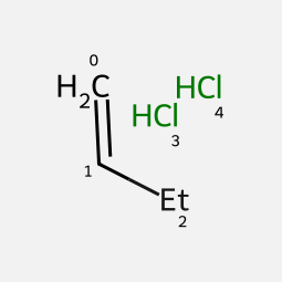 C=CCC.Cl.Cl